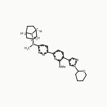 CNc1nc(-c2ccc(N(C)[C@H]3C[C@H]4CC[C@@H](C3)N4C(=O)O)nn2)ccc1-c1cnn(C2CCCCO2)c1